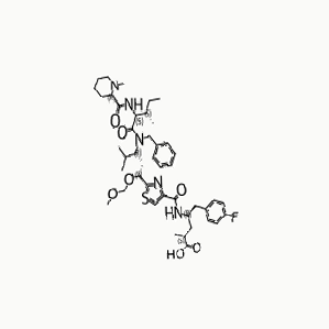 CC[C@H](C)[C@H](NC(=O)[C@H]1CCCCN1C)C(=O)N(Cc1ccccc1)[C@H](C[C@@H](OCOC)c1nc(C(=O)N[C@@H](Cc2ccc(F)cc2)C[C@H](C)C(=O)O)cs1)C(C)C